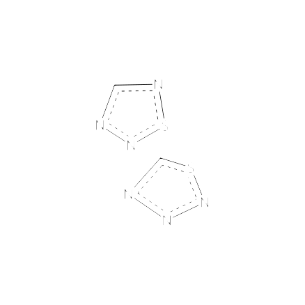 [c]1nnns1.[c]1nnsn1